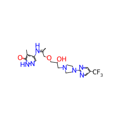 Cc1c(N[C@@H](C)COCC(O)CN2CCN(c3ncc(C(F)(F)F)cn3)CC2)cn[nH]c1=O